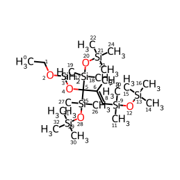 CCO[SiH2]OC(/C(C)=C/[Si](C)(C)O[Si](C)(C)C)([Si](C)(C)O[Si](C)(C)C)[Si](C)(C)O[Si](C)(C)C